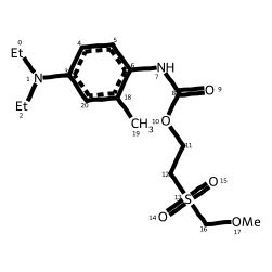 CCN(CC)c1ccc(NC(=O)OCCS(=O)(=O)COC)c(C)c1